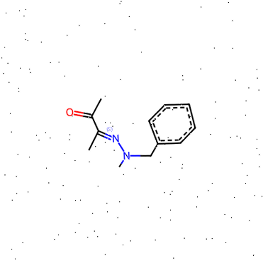 CC(=O)/C(C)=N/N(C)Cc1ccccc1